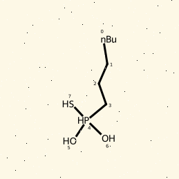 CCCCCCC[PH](O)(O)S